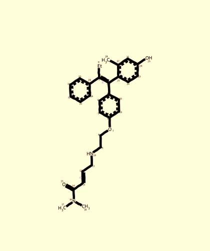 CC/C(=C(/c1ccc(OCCNC/C=C/C(=O)N(C)C)cc1)c1ccc(O)cc1C)c1ccccc1